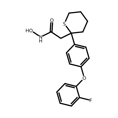 O=C(CC1(c2ccc(Oc3ccccc3F)cc2)CCCCS1)NO